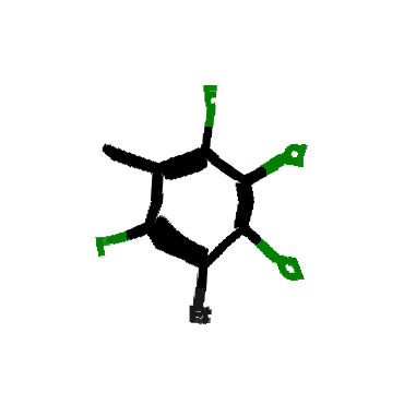 CCc1c(F)c(C)c(F)c(Cl)c1Cl